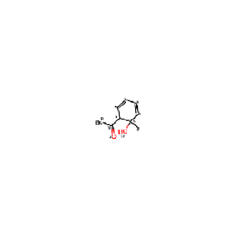 CCC(C)C(=O)C1C=CC=CC1(C)O